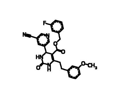 COc1cccc(CCC2=C(C(=O)OCc3cccc(F)c3)C(c3cncc(C#N)c3)NC(=O)N2)c1